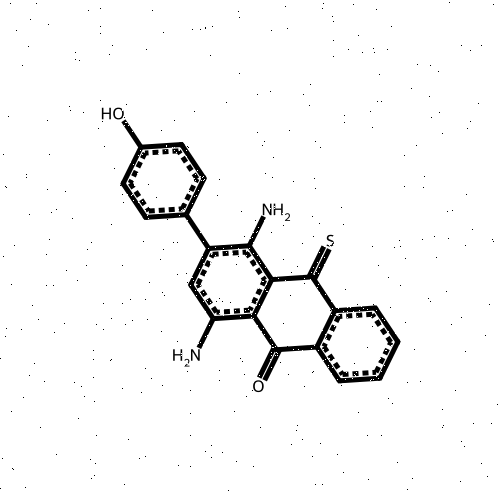 Nc1cc(-c2ccc(O)cc2)c(N)c2c1C(=O)c1ccccc1C2=S